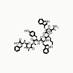 CCCC[C@H](NC(=O)[C@H](Cc1c[nH]c2ccccc12)NC(=O)[C@H](C)N)C(=O)N[C@@H](Cc1c[nH]c2ccccc12)C(=O)N[C@H](Cc1ccc(O)cc1)C(=O)N(C)CC(=O)N(C)[C@@H](C)C(=O)N(C)[C@@H](Cc1ccccc1)C(=O)O